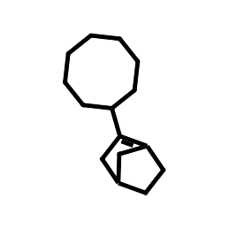 C1CCCC(C2=C3CCC(C3)C2)CCC1